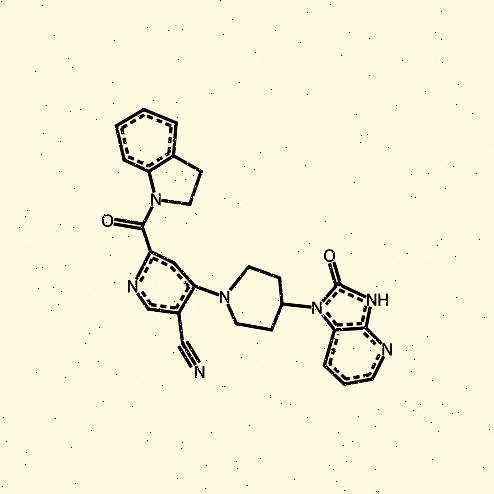 N#Cc1cnc(C(=O)N2CCc3ccccc32)cc1N1CCC(n2c(=O)[nH]c3ncccc32)CC1